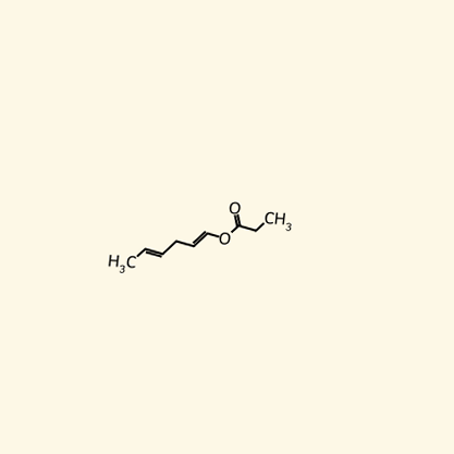 CC=CCC=COC(=O)CC